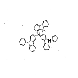 CC1(C)c2ccccc2-c2cccc(N(c3ccc4c(c3)-c3ccccc3C4c3ccccc3)c3ccc4c(c3)c3ccccc3n4-c3ccccc3)c21